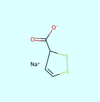 O=C([O-])C1C=CSS1.[Na+]